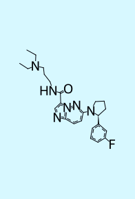 CCN(CC)CCCNC(=O)c1cnc2ccc(N3CCC[C@H]3c3cccc(F)c3)nn12